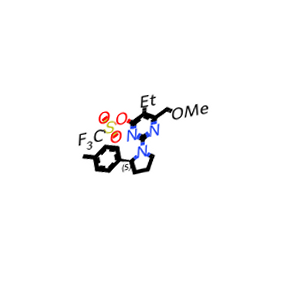 CCc1c(COC)nc(N2CCC[C@H]2c2ccc(C)cc2)nc1OS(=O)(=O)C(F)(F)F